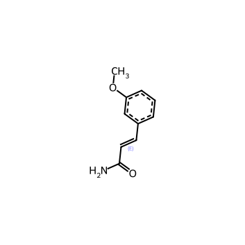 COc1cccc(/C=C/C(N)=O)c1